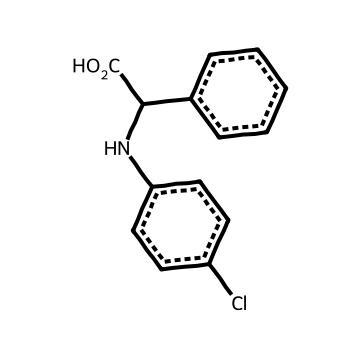 O=C(O)C(Nc1ccc(Cl)cc1)c1ccccc1